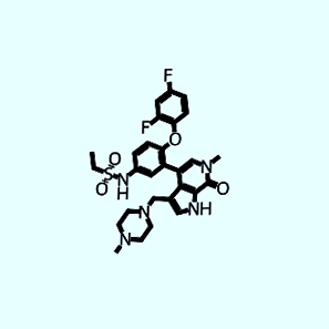 CCS(=O)(=O)Nc1ccc(Oc2ccc(F)cc2F)c(-c2cn(C)c(=O)c3[nH]cc(CN4CCN(C)CC4)c23)c1